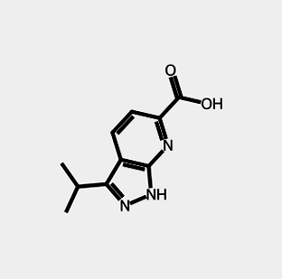 CC(C)c1n[nH]c2nc(C(=O)O)ccc12